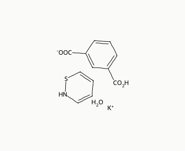 C1=CNSC=C1.O.O=C([O-])c1cccc(C(=O)O)c1.[K+]